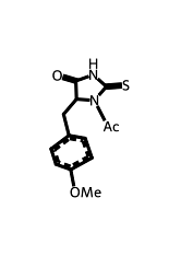 COc1ccc(CC2C(=O)NC(=S)N2C(C)=O)cc1